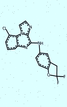 FC1(F)Cc2cc(Nc3nc4cccc(Cl)c4n4ccnc34)ccc2O1